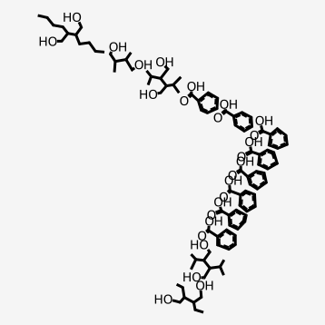 CC(C)C(CO)C(CO)C(C)C.CC(C)C(CO)C(CO)C(C)C.CC(CO)C(C)CO.CCC(CO)C(CC)CO.CCCCC(CO)C(CO)CCCC.O=C(O)c1ccccc1.O=C(O)c1ccccc1.O=C(O)c1ccccc1.O=C(O)c1ccccc1.O=C(O)c1ccccc1.O=C(O)c1ccccc1.O=C(O)c1ccccc1.O=C(O)c1ccccc1